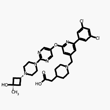 C[C@]1(O)C[C@H](N2CCN(c3ncc(Oc4cc(CN5CCC(CC(=O)O)CC5)cc(-c5cc(Cl)cc(Cl)c5)n4)cn3)CC2)C1